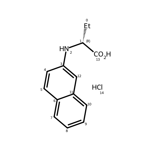 CC[C@@H](Nc1ccc2ccccc2c1)C(=O)O.Cl